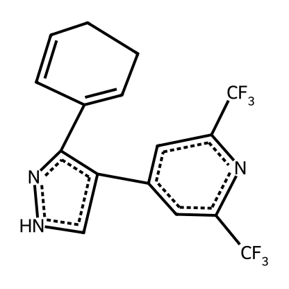 FC(F)(F)c1cc(-c2c[nH]nc2C2=CCCC=C2)cc(C(F)(F)F)n1